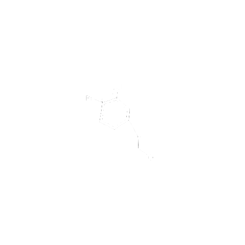 OCCc1ccc(Br)c(Cl)c1